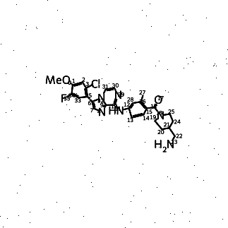 COc1cc(Cl)c(-c2cnc3c(Nc4ccc(C(=O)N5CCC(CN)CC5)c(C)c4)nccn23)cc1F